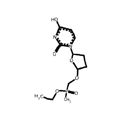 CCOP(C)(=O)COC1CCC(n2ccc(O)nc2=O)O1